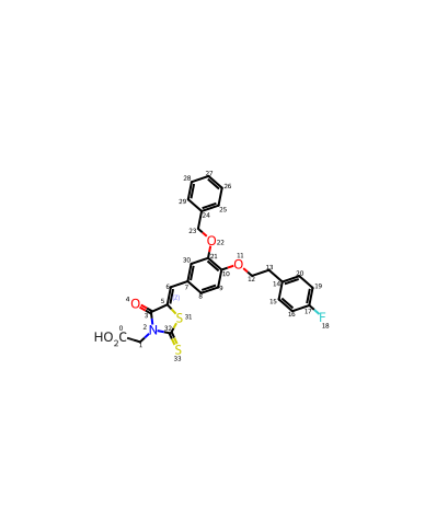 O=C(O)CN1C(=O)/C(=C/c2ccc(OCCc3ccc(F)cc3)c(OCc3ccccc3)c2)SC1=S